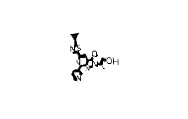 C[C@@H](CO)n1cnc2c(-c3cccnc3)nc(-c3cnc(C4CC4)s3)cc2c1=O